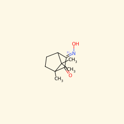 CC12CCC(/C(=N\O)C1=O)C2(C)C